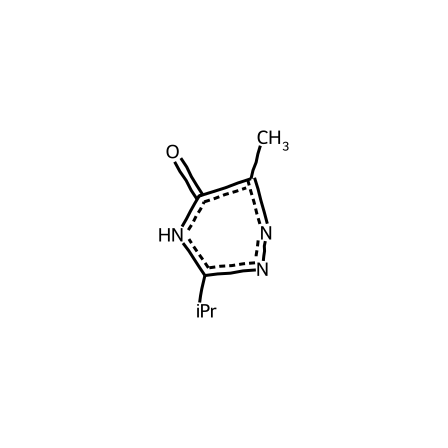 Cc1nnc(C(C)C)[nH]c1=O